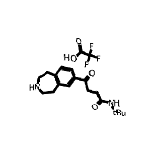 CC(C)(C)NC(=O)CCC(=O)c1ccc2c(c1)CCNCC2.O=C(O)C(F)(F)F